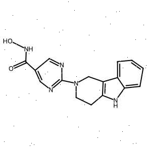 O=C(NO)c1cnc(N2CCc3[nH]c4ccccc4c3C2)nc1